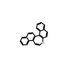 C1=Cc2c(ccc3ccccc23)-c2c(ccc3ccccc23)O1